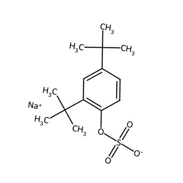 CC(C)(C)c1ccc(OS(=O)(=O)[O-])c(C(C)(C)C)c1.[Na+]